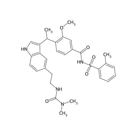 COc1cc(C(=O)NS(=O)(=O)c2ccccc2C)ccc1C(C)c1c[nH]c2ccc(CCNC(=O)N(C)C)cc12